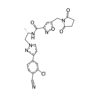 C[C@@H](Cn1ccc(-c2ccc(C#N)c(Cl)c2)n1)NC(=O)c1cc(CN2C(=O)CCC2=O)on1